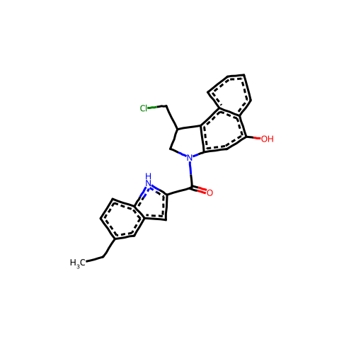 CCc1ccc2[nH]c(C(=O)N3CC(CCl)c4c3cc(O)c3ccccc43)cc2c1